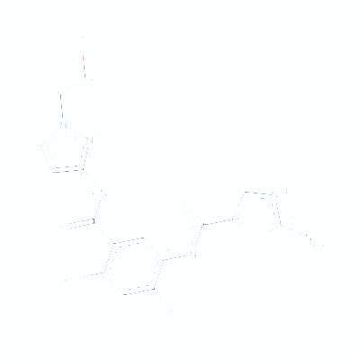 Cc1cc(F)c(C(=O)Nc2ccn(CCO)n2)cc1NC(=O)c1cnc(N)s1